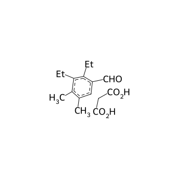 CCc1c(C=O)cc(C)c(C)c1CC.O=C(O)CC(=O)O